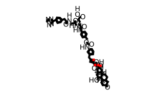 C[C@]12C=CC(=O)C=C1CC[C@@H]1[C@@H]2[C@@H](O)C[C@@]2(C)[C@H]1C[C@H]1O[C@H](C34CC(Cc5cccc(NC(=O)OCc6ccc(NC(=O)[C@H](CCC(=O)O)NC(=O)CNC(=O)Cc7ccc(-c8nncnn8)cc7)cc6)c5)(C3)C4)O[C@]12C(=O)CO